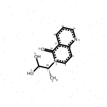 C[C@H](C(O)O)n1ccc2ncccc2c1=O